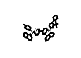 Cc1ccc(N(c2ccc(-c3ccc(N(c4ccc5c(c4)C(C)(C)c4ccccc4-5)c4cccc5ccccc45)cc3)cn2)c2cccc3ccccc23)cc1